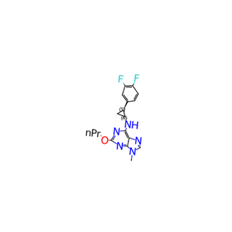 CCCOc1nc(N[C@@H]2C[C@H]2c2ccc(F)c(F)c2)c2ncn(C)c2n1